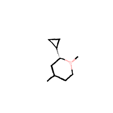 CB1CCC(C)C[C@@H]1C1CC1